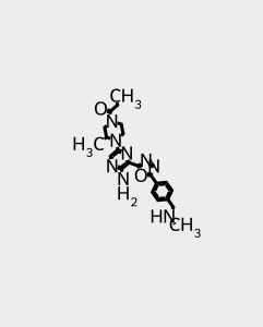 CCC(=O)N1CCN(c2cnc(N)c(-c3nnc(-c4ccc(CNC)cc4)o3)n2)C(C)C1